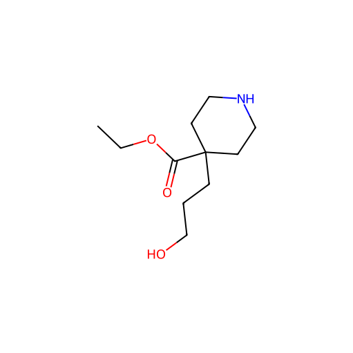 CCOC(=O)C1(CCCO)CCNCC1